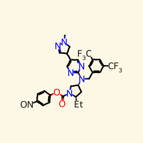 CC[C@@H]1C[C@H](N(Cc2cc(C(F)(F)F)cc(C(F)(F)F)c2)c2ncc(C3C=NN(C)C3)cn2)CN1C(=O)Oc1ccc(N=O)cc1